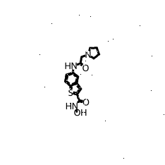 O=C(CN1CCCC1)Nc1ccc2sc(C(=O)NO)cc2c1